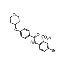 O=C(Nc1ccc(Br)cc1C(=O)O)c1ccc(OC2CCOCC2)cc1